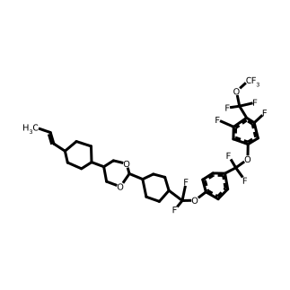 C/C=C/C1CCC(C2COC(C3CCC(C(F)(F)Oc4ccc(C(F)(F)Oc5cc(F)c(C(F)(F)OC(F)(F)F)c(F)c5)cc4)CC3)OC2)CC1